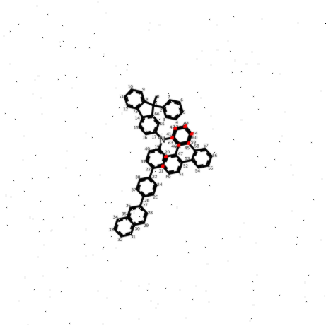 CC1(c2ccccc2)c2ccccc2-c2ccc(N(c3ccc(-c4ccc(-c5ccc6ccccc6c5)cc4)cc3)c3ccccc3-c3ccccc3-c3ccccc3-c3ccccc3)cc21